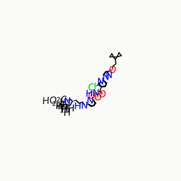 [2H]C([2H])([2H])C1(C([2H])([2H])[2H])C[C@H](CCCNc2cccc(S(=O)(=O)NC(=O)c3ccc(-n4ccc(OCCC5C6(CC6)C56CC6)n4)nc3Cl)n2)CN1C(=O)O